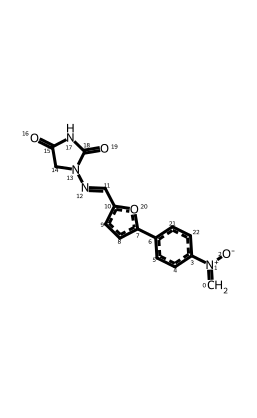 C=[N+]([O-])c1ccc(-c2ccc(/C=N/N3CC(=O)NC3=O)o2)cc1